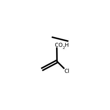 C=C(Cl)C(=O)O.CC